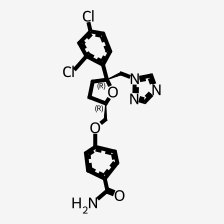 NC(=O)c1ccc(OC[C@H]2CC[C@](Cn3cncn3)(c3ccc(Cl)cc3Cl)O2)cc1